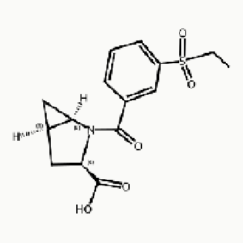 CCS(=O)(=O)c1cccc(C(=O)N2[C@@H](C(=O)O)C[C@H]3C[C@H]32)c1